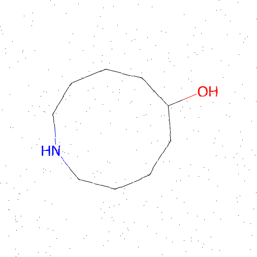 OC1CCCCNCCCC1